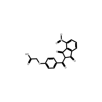 O=C(O)COc1ccc(C(=O)C2C(=O)c3cccc([N+](=O)[O-])c3C2=O)cc1